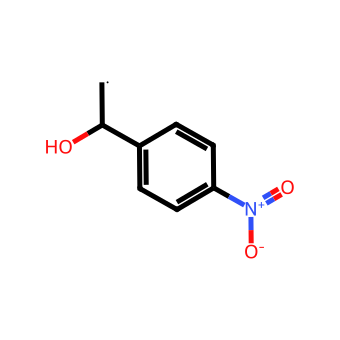 [CH2]C(O)c1ccc([N+](=O)[O-])cc1